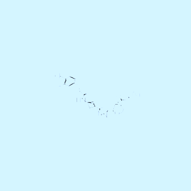 CC(C)(C)OC(=O)N1CCO[C@H](c2nnc(C34CC(NC(=O)COc5ccc(Cl)c(F)c5)(C3)C4)o2)C1